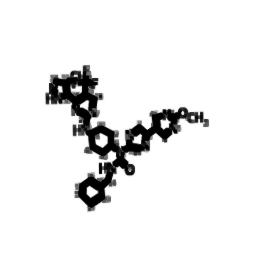 COc1ncc(-c2cnc(N(C(=O)NCc3ccccc3)C3CCC(Nc4ncc(C(F)(F)F)c(-c5[nH]ncc5C)n4)CC3)cn2)cn1